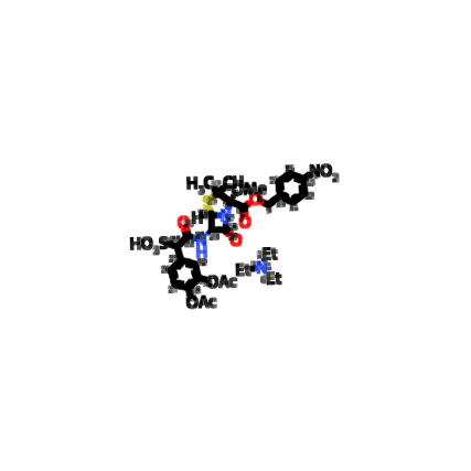 CCN(CC)CC.CO[C@@]1(C(=O)OCc2ccc([N+](=O)[O-])cc2)N2C(=O)[C@H](NC(=O)C(c3ccc(OC(C)=O)c(OC(C)=O)c3)S(=O)(=O)O)[C@H]2SC1(C)C